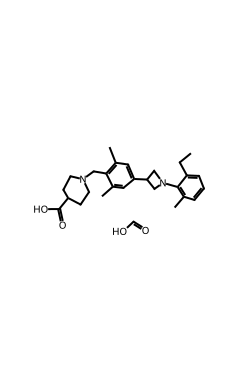 CCc1cccc(C)c1N1CC(c2cc(C)c(CN3CCC(C(=O)O)CC3)c(C)c2)C1.O=CO